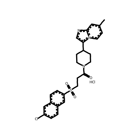 Cc1ccn2c(C3CCN(C(=O)CCS(=O)(=O)c4ccc5cc(Cl)ccc5c4)CC3)cnc2c1.Cl